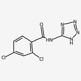 O=C(Nc1nnn[nH]1)c1ccc(Cl)cc1Cl